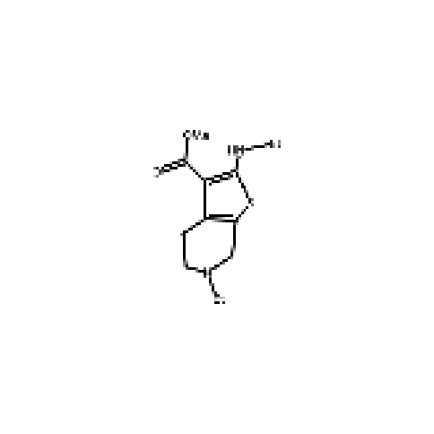 CCNc1sc2c(c1C(=O)OC)CCN(CC)C2